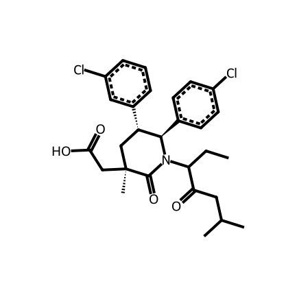 CCC(C(=O)CC(C)C)N1C(=O)[C@@](C)(CC(=O)O)C[C@H](c2cccc(Cl)c2)[C@H]1c1ccc(Cl)cc1